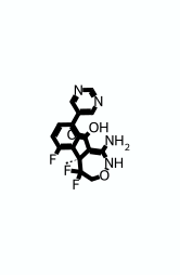 C[C@]1(c2cc(-c3cncnc3)ccc2F)C(C(=O)O)=C(N)NOCC1(F)F